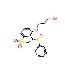 O=S1(=O)CC([S+]([O-])c2ccccc2)c2c(OCCCO)cccc21